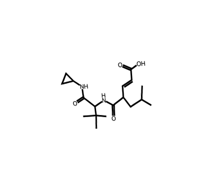 CC(C)CC(C=CC(=O)O)C(=O)NC(C(=O)NC1CC1)C(C)(C)C